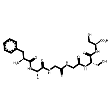 C[C@H](NC(=O)[C@@H](N)Cc1ccccc1)C(=O)NCC(=O)NCC(=O)N[C@@H](CO)C(=O)N[C@@H](CS)C(=O)O